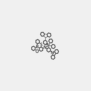 c1ccc([Si]2(c3ccccc3)c3cc(C4c5ccccc5-c5ccccc54)ccc3N(c3ccc4c5c3Sc3ccccc3B5c3ccccc3O4)c3ccc(-n4c5ccccc5c5ccccc54)cc32)cc1